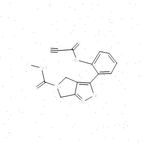 C#CC(=O)Nc1ccccc1-c1[nH]nc2c1CN(C(=O)NCC)C2